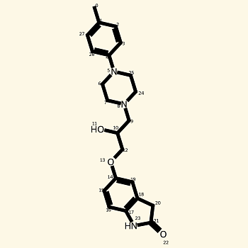 Cc1ccc(N2CCN(CC(O)COc3ccc4c(c3)CC(=O)N4)CC2)cc1